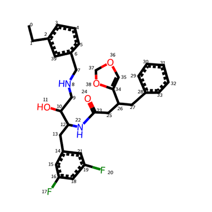 CCc1cccc(CNCC(O)C(Cc2cc(F)cc(F)c2)NC(=O)CC(Cc2ccccc2)C2=COCO2)c1